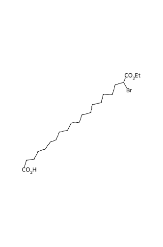 CCOC(=O)C(Br)CCCCCCCCCCCCCCCCCC(=O)O